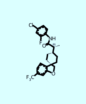 C[C@@H](C(=O)Nc1ccc(Cl)cc1F)[C@H]1CC[C@]2(CC1)COc1cc(C(F)(F)F)ccc12